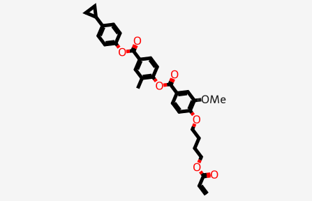 C=CC(=O)OCCCCOc1ccc(C(=O)Oc2ccc(C(=O)Oc3ccc(C4CC4)cc3)cc2C)cc1OC